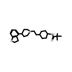 CC(C)(C)C(=O)NC1CCC(CCN2CCC(c3cccc4c3CCO4)CC2)CC1